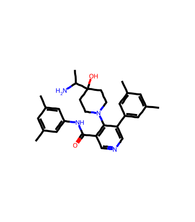 Cc1cc(C)cc(NC(=O)c2cncc(-c3cc(C)cc(C)c3)c2N2CCC(O)(C(C)N)CC2)c1